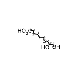 O=C(O)CCCCCSCC(O)CO